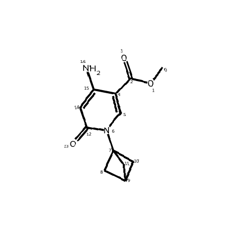 COC(=O)c1cn(C23CC(C2)C3)c(=O)cc1N